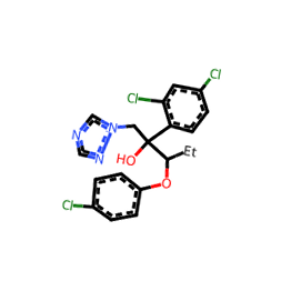 CCC(Oc1ccc(Cl)cc1)C(O)(Cn1cncn1)c1ccc(Cl)cc1Cl